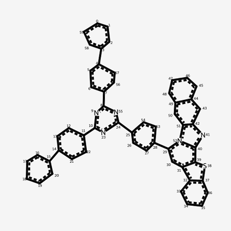 c1ccc(-c2ccc(-c3nc(-c4ccc(-c5ccccc5)cc4)nc(-c4ccc(-c5cc6c7ccccc7sc6c6nc7cc8ccccc8cc7n56)cc4)n3)cc2)cc1